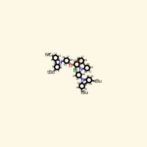 CC(C)(C)c1ccc2c(c1)c1cc(C#N)ccc1n2-c1cccc(Oc2cc(Cl)cc(N(c3cccc(-n4c5ccc(C(C)(C)C)cc5c5cc(C(C)(C)C)ccc54)c3)c3ccccc3-c3ccccc3)c2Br)c1